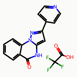 O=C(O)C(F)(F)F.O=c1[nH]c2cc(-c3ccncc3)nn2c2ccccc12